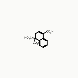 O=C(O)C1=CCC(C(=O)O)(C(=O)O)c2ccccc21